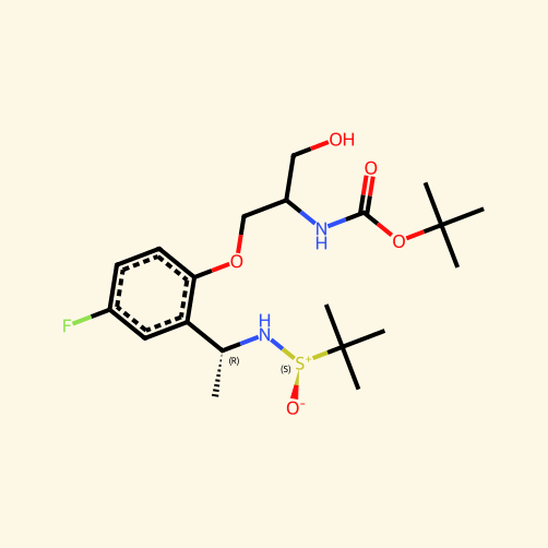 C[C@@H](N[S@+]([O-])C(C)(C)C)c1cc(F)ccc1OCC(CO)NC(=O)OC(C)(C)C